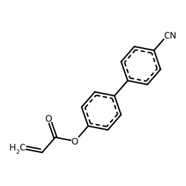 C=CC(=O)Oc1ccc(-c2ccc(C#N)cc2)cc1